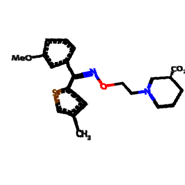 COc1cccc(/C(=N/OCCN2CCC[C@@H](C(=O)O)C2)c2cc(C)cs2)c1